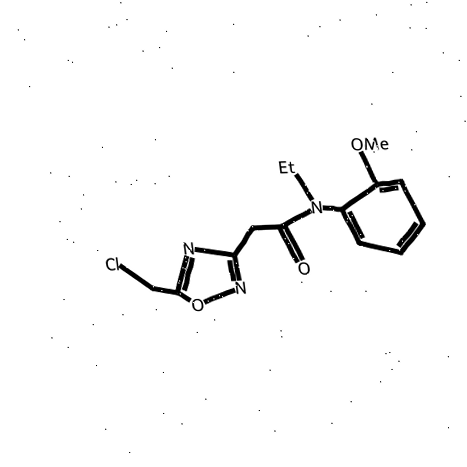 CCN(C(=O)Cc1noc(CCl)n1)c1ccccc1OC